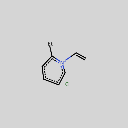 C=C[n+]1ccccc1CC.[Cl-]